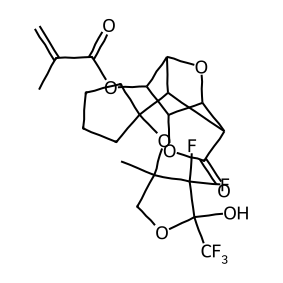 C=C(C)C(=O)OC1C2OC(=O)C3C2OC1C3C1(OC2(C)COC(O)(C(F)(F)F)C2(F)F)CCCC1